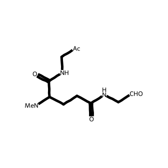 CNC(CCC(=O)NCC=O)C(=O)NCC(C)=O